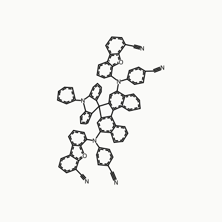 N#Cc1ccc(N(c2cc3c(c4ccccc24)-c2c(cc(N(c4ccc(C#N)cc4)c4cccc5c4oc4c(C#N)cccc45)c4ccccc24)C32c3ccccc3N(c3ccccc3)c3ccccc32)c2cccc3c2oc2c(C#N)cccc23)cc1